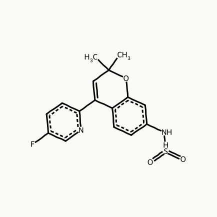 CC1(C)C=C(c2ccc(F)cn2)c2ccc(N[SH](=O)=O)cc2O1